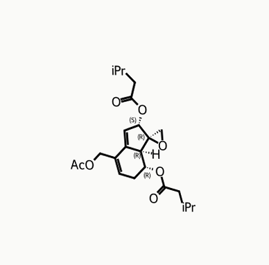 CC(=O)OCC1=CC[C@@H](OC(=O)CC(C)C)[C@H]2C1=C[C@H](OC(=O)CC(C)C)[C@]21CO1